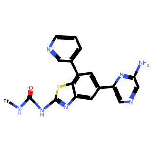 CCNC(=O)Nc1nc2cc(-c3cncc(N)n3)cc(-c3cccnc3)c2s1